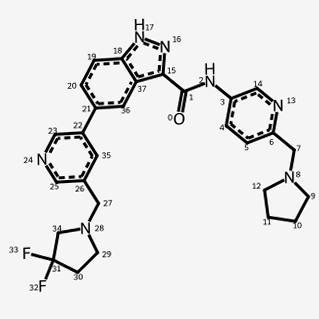 O=C(Nc1ccc(CN2CCCC2)nc1)c1n[nH]c2ccc(-c3cncc(CN4CCC(F)(F)C4)c3)cc12